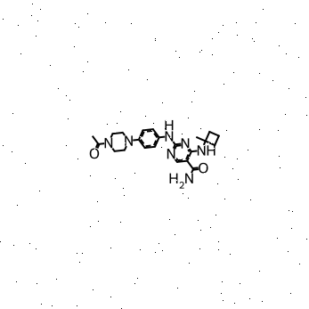 CC(=O)N1CCN(c2ccc(Nc3ncc(C(N)=O)c(NC4(C)CCC4)n3)cc2)CC1